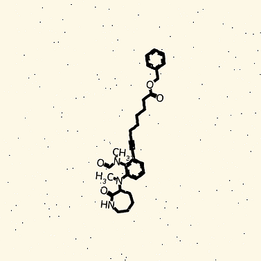 CN(C=O)c1c(C#CCCCCCC(=O)OCc2ccccc2)cccc1N(C)C1CCCCNC1=O